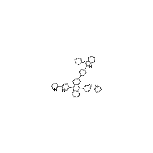 c1ccc(-n2c(-c3ccc(-c4ccc5c(-c6ccc(-c7ccccn7)nc6)c6ccccc6c(-c6ccc(-c7ccccn7)nc6)c5c4)cc3)nc3ccccc32)cc1